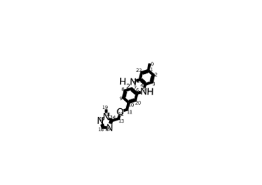 Cc1ccc(Nc2cccc(COCc3ncnn3C)c2)c(N)c1